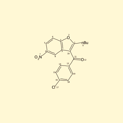 CCCCc1oc2ccc([N+](=O)[O-])cc2c1C(=O)c1ccc(Cl)cc1